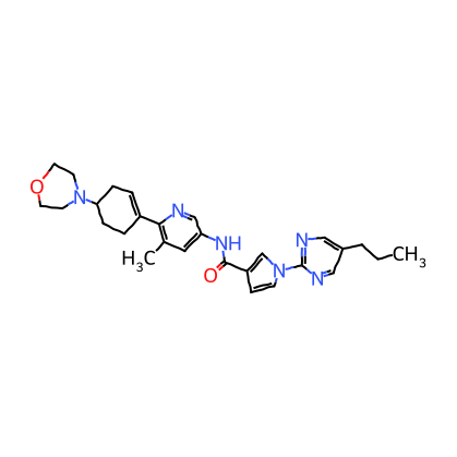 CCCc1cnc(-n2ccc(C(=O)Nc3cnc(C4=CCC(N5CCOCC5)CC4)c(C)c3)c2)nc1